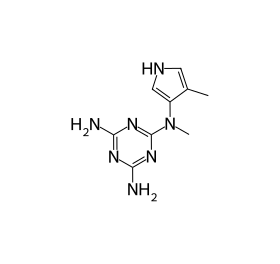 Cc1c[nH]cc1N(C)c1nc(N)nc(N)n1